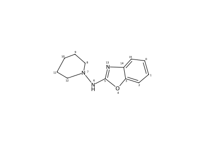 c1ccc2oc(NN3CCCCC3)nc2c1